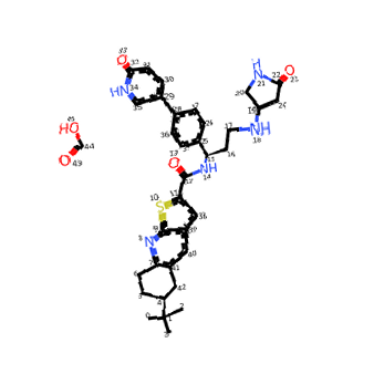 CC(C)(C)[C@H]1CCc2nc3sc(C(=O)N[C@H](CCNC4CNC(=O)C4)c4ccc(-c5ccc(=O)[nH]c5)cc4)cc3cc2C1.O=CO